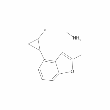 CN.Cc1cc2c(C3CC3F)cccc2o1